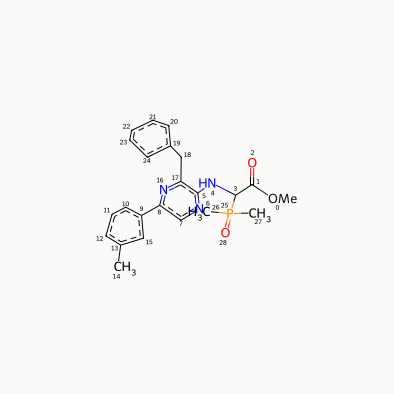 COC(=O)C(Nc1ncc(-c2cccc(C)c2)nc1Cc1ccccc1)P(C)(C)=O